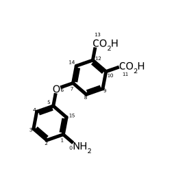 Nc1cccc(Oc2ccc(C(=O)O)c(C(=O)O)c2)c1